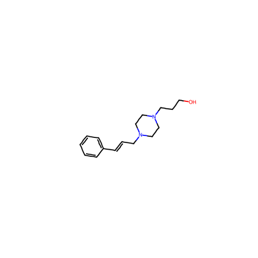 OCCCN1CCN(CC=Cc2ccccc2)CC1